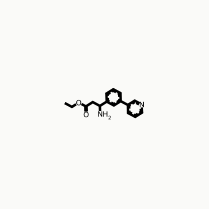 CCOC(=O)CC(N)c1cccc(-c2cccnc2)c1